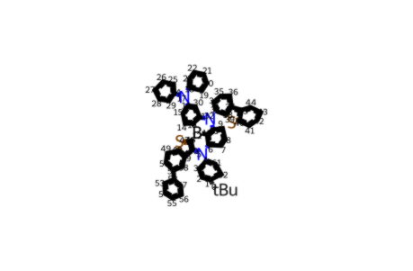 CC(C)(C)c1ccc(N2c3cccc4c3B(c3ccc(N(c5ccccc5)c5ccccc5)cc3N4c3cccc4c3sc3ccccc34)c3sc4ccc(-c5ccccc5)cc4c32)cc1